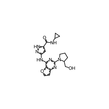 O=C(NC1CC1)c1cc(Nc2nc(N3CCCC3CO)nc3ccoc23)n[nH]1